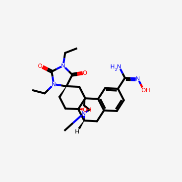 CCN1C(=O)N(CC)[C@]2(CC[C@@]3(O)[C@H]4Cc5ccc(/C(N)=N\O)cc5[C@@]3(CCN4C)C2)C1=O